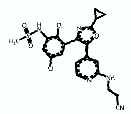 CS(=O)(=O)Nc1cc(Cl)cc(-c2nc(C3CC3)oc2-c2ccnc(NCCC#N)c2)c1Cl